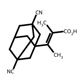 CC(C(=O)O)=C(C)C12CC3CC(C#N)(CC(C#N)(C3)C1)C2